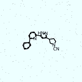 N#CN1CCC(c2cc(-c3cccc(-c4ccccc4)n3)[nH]n2)C1